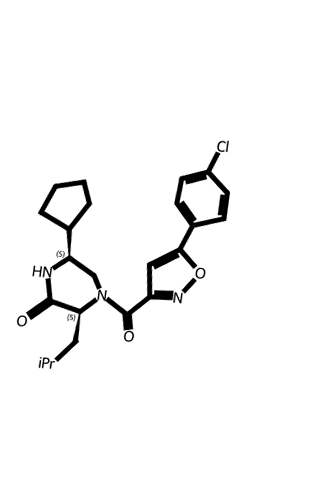 CC(C)C[C@H]1C(=O)N[C@@H](C2CCCC2)CN1C(=O)c1cc(-c2ccc(Cl)cc2)on1